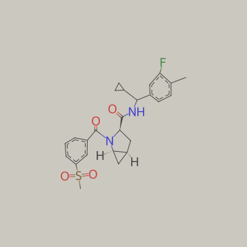 Cc1ccc(C(NC(=O)[C@H]2C[C@H]3C[C@H]3N2C(=O)c2cccc(S(C)(=O)=O)c2)C2CC2)cc1F